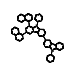 c1ccc(-n2c3ccccc3c3cc(-c4ccc5c(c4)c4cc(-c6cccc7ccccc67)cc(-c6cccc7ccccc67)c4n5-c4ccccc4)ccc32)cc1